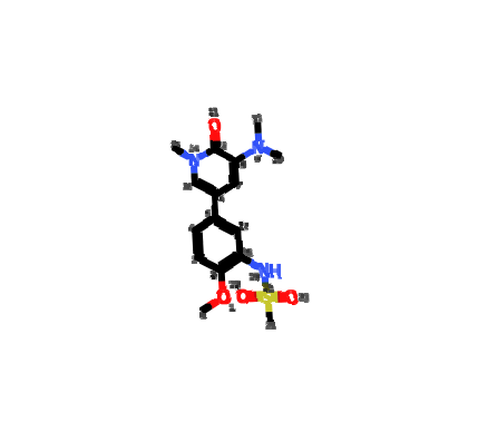 COc1ccc(-c2cc(N(C)C)c(=O)n(C)c2)cc1NS(C)(=O)=O